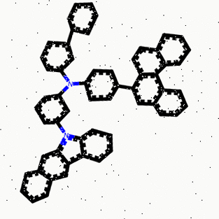 c1ccc(-c2cccc(N(c3ccc(-c4cc5ccccc5c5c4ccc4ccccc45)cc3)c3cccc(-n4c5ccccc5c5cc6ccccc6cc54)c3)c2)cc1